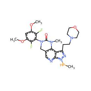 COc1cc(OC)c(F)c(N2Cc3cnc4c(c(CCN5CCOCC5)nn4PC)c3N(C)C2=O)c1F